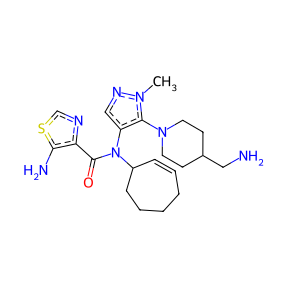 Cn1ncc(N(C(=O)c2ncsc2N)C2C=CCCCC2)c1N1CCC(CN)CC1